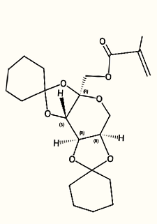 C=C(C)C(=O)OC[C@]12OC[C@H]3OC4(CCCCC4)O[C@H]3[C@@H]1OC1(CCCCC1)O2